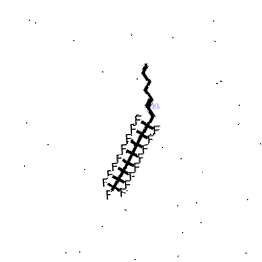 CCCC/C=C/CC(F)(F)C(F)(F)C(F)(F)C(F)(F)C(F)(F)C(F)(F)C(F)(F)C(F)(F)F